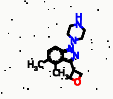 Cc1ccc2c(c(C3COC3)nn2N2CCNCC2)c1C